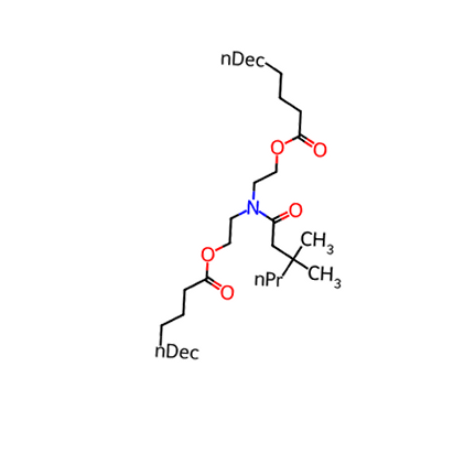 CCCCCCCCCCCCCC(=O)OCCN(CCOC(=O)CCCCCCCCCCCCC)C(=O)CC(C)(C)CCC